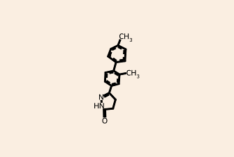 Cc1ccc(-c2ccc(C3=NNC(=O)CC3)cc2C)cc1